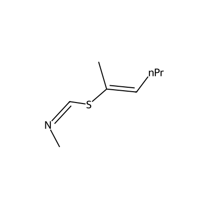 CCC/C=C(\C)S/C=N\C